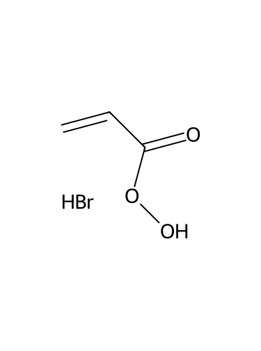 Br.C=CC(=O)OO